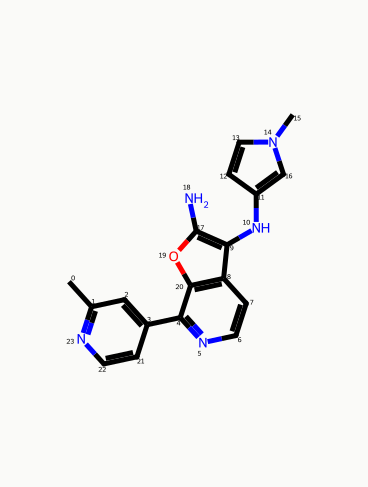 Cc1cc(-c2nccc3c(Nc4ccn(C)c4)c(N)oc23)ccn1